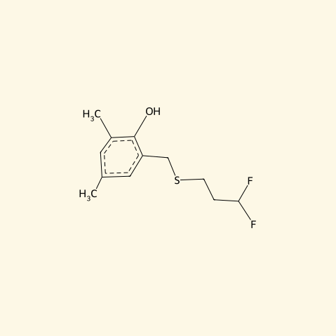 Cc1cc(C)c(O)c(CSCCC(F)F)c1